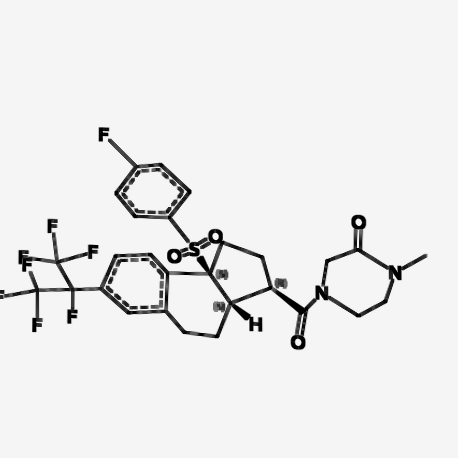 CN1CCN(C(=O)[C@@H]2CC[C@@]3(S(=O)(=O)c4ccc(F)cc4)c4ccc(C(F)(C(F)(F)F)C(F)(F)F)cc4CC[C@@H]23)CC1=O